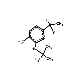 Cc1ccc(C(C)(F)F)nc1NC(C)(C)C